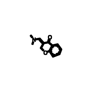 CN(C)/C=C1\COc2ccccc2C1=O